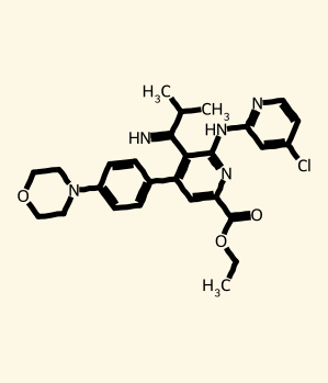 CCOC(=O)c1cc(-c2ccc(N3CCOCC3)cc2)c(C(=N)C(C)C)c(Nc2cc(Cl)ccn2)n1